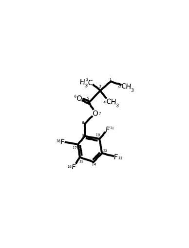 CCC(C)(C)C(=O)OCc1c(F)c(F)cc(F)c1F